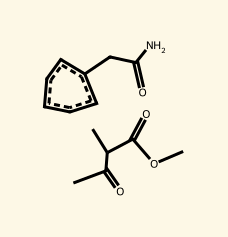 COC(=O)C(C)C(C)=O.NC(=O)Cc1ccccc1